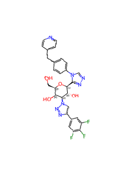 OC[C@H]1O[C@@H](c2nncn2-c2ccc(Cc3ccncc3)cc2)[C@H](O)[C@@H](n2cc(-c3cc(F)c(F)c(F)c3)nn2)[C@H]1O